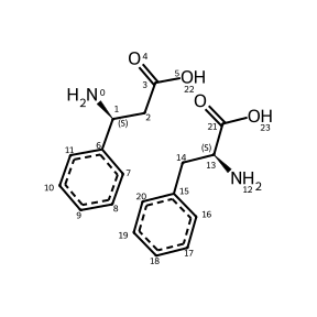 N[C@@H](CC(=O)O)c1ccccc1.N[C@@H](Cc1ccccc1)C(=O)O